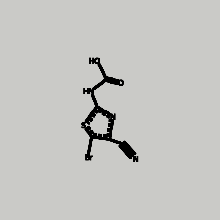 N#Cc1nc(NC(=O)O)sc1Br